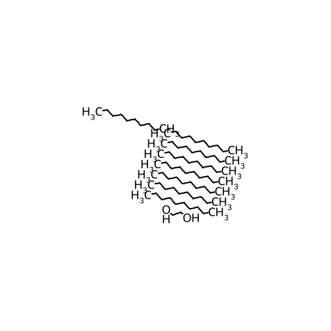 CCCCCCCCCC.CCCCCCCCCC.CCCCCCCCCC.CCCCCCCCCC.CCCCCCCCCC.CCCCCCCCCC.CCCCCCCCCC.CCCCCCCCCC.OCCO